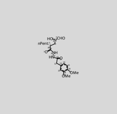 CCCCC[C@H](CN(O)C=O)C(=O)NNC(=O)Cc1ccc(OC)c(OC)c1